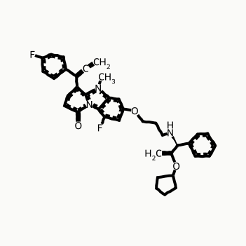 C=C=C(c1ccc(F)cc1)c1ccc(=O)n2c3c(F)cc(OCCCN[C@H](C(=C)OC4CCCC4)c4ccccc4)cc3n(C)c12